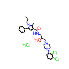 CCCn1c(-c2ccccc2)cc(C(=O)NCC(O)CN2CCN(c3cccc(Cl)c3Cl)CC2)c1C.Cl